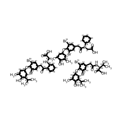 Cc1cc(Oc2c(Br)cc(CC(=O)N(CC(=O)O)c3ccccc3)cc2Br)cc(C)c1O.Cc1cc(Oc2c(Br)cc(CC(=O)N[C@H](C(=O)O)C(C)C)cc2Br)cc(C(C)C)c1O.Cc1cc(Oc2c(Br)cc(CC(=O)c3ccccc3NCC(=O)O)cc2Br)cc(C(C)C)c1O